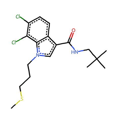 CSCCCn1cc(C(=O)NCC(C)(C)C)c2ccc(Cl)c(Cl)c21